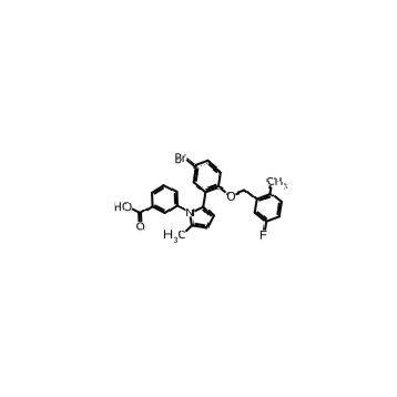 Cc1ccc(F)cc1COc1ccc(Br)cc1-c1ccc(C)n1-c1cccc(C(=O)O)c1